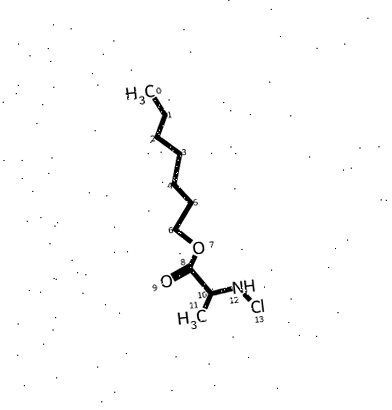 CCCCCCCOC(=O)C(C)NCl